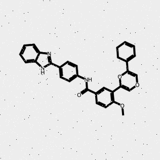 COc1ccc(C(=O)Nc2ccc(-c3nc4ccccc4[nH]3)cc2)cc1C1=COC=C(C2=CC=CCC2)O1